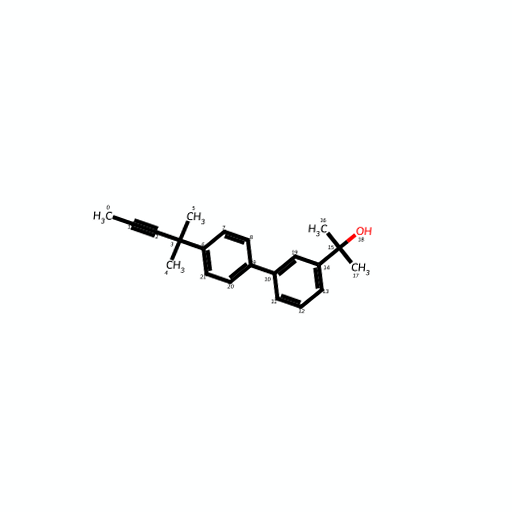 CC#CC(C)(C)c1ccc(-c2cccc(C(C)(C)O)c2)cc1